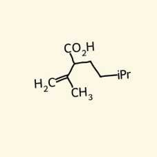 C=C(C)C(CCC(C)C)C(=O)O